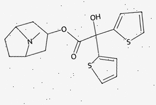 CN1C2CCC1CC(OC(=O)C(O)(c1cccs1)c1cccs1)C2